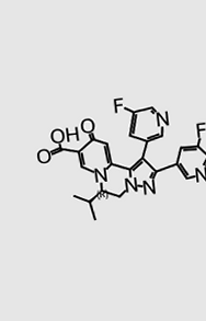 CC(C)[C@@H]1Cn2nc(-c3cncc(F)c3)c(-c3cncc(F)c3)c2-c2cc(=O)c(C(=O)O)cn21